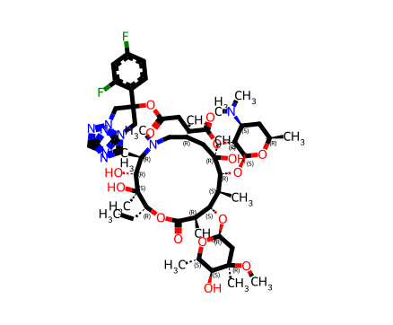 CC[C@H]1OC(=O)[C@H](C)[C@@H](O[C@H]2C[C@@](C)(OC)[C@@H](O)[C@H](C)O2)[C@H](C)[C@@H](O[C@@H]2O[C@H](C)C[C@H](N(C)C)[C@H]2OC(=O)CCC(=O)OC(Cn2cncn2)(Cn2cncn2)c2ccc(F)cc2F)[C@](C)(O)C[C@@H](C)CN(C)[C@H](C)[C@@H](O)[C@]1(C)O